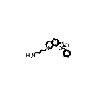 NCCCCN1CCc2ccc(NS(=O)(=O)c3ccccc3)cc2C1